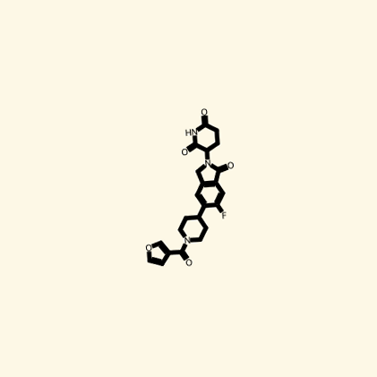 O=C1CCC(N2Cc3cc(C4CCN(C(=O)c5ccoc5)CC4)c(F)cc3C2=O)C(=O)N1